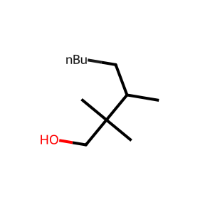 CCCCCC(C)C(C)(C)CO